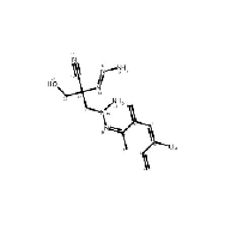 C=C/C(Cl)=C\C(=C)/C(C)=N\N(N)CC(C#N)(CO)N=NN